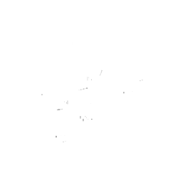 CCCCCCCCCCCC(CC(=O)NC(COC1OC(CO)C(OO)C(OC(=O)CC(CCCCCCCCCCC)OCCCCCCCCCC)C1NC(=O)CC(CCCCCCCCCCC)OCCCCCCCCCC)C(=O)O)OCCCCCCCCCC